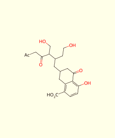 CC(=O)CC(=O)C(CO)C(CCO)CC1CC(=O)c2c(O)ccc(C(=O)O)c2C1